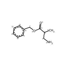 C[C](CN)C(=O)OCc1ccccc1